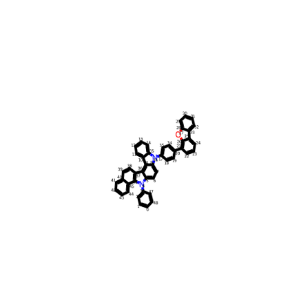 c1ccc(-n2c3ccc4c(c5ccccc5n4-c4ccc(-c5cccc6c5oc5ccccc56)cc4)c3c3ccc4ccccc4c32)cc1